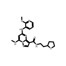 CNc1cc(Nc2cccnc2OC)nc2c(C(=O)NCCC3CCCO3)cnn12